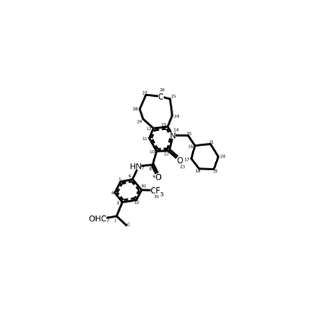 CC(C=O)c1ccc(NC(=O)c2cc3c(n(CC4CCCCC4)c2=O)CCCCCC3)c(C(F)(F)F)c1